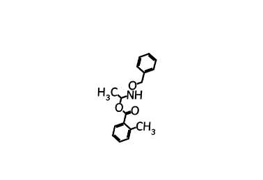 Cc1ccccc1C(=O)OC(C)NOCc1ccccc1